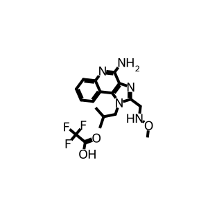 CONCc1nc2c(N)nc3ccccc3c2n1CC(C)C.O=C(O)C(F)(F)F